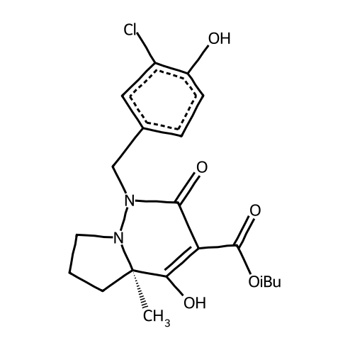 CC(C)COC(=O)C1=C(O)[C@@]2(C)CCCN2N(Cc2ccc(O)c(Cl)c2)C1=O